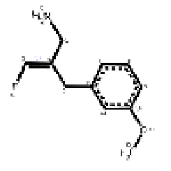 NC/C(=C/F)Cc1cccc(OC(F)(F)F)c1